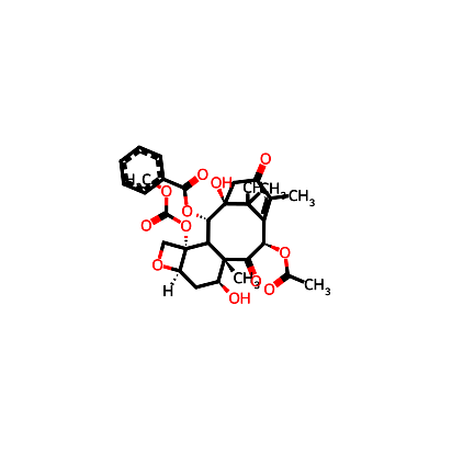 COC(=O)O[C@@]12CO[C@@H]1C[C@H](O)[C@@]1(C)C(=O)[C@H](OC(C)=O)C3=C(C)C(=O)C[C@@](O)([C@@H](OC(=O)c4ccccc4)C12)C3(C)C